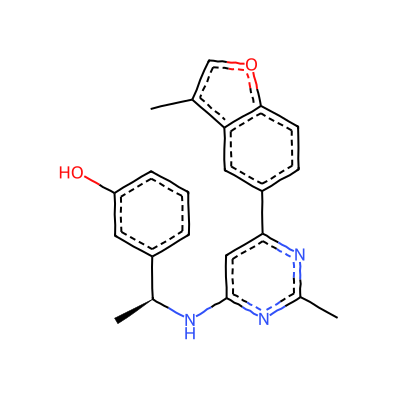 Cc1nc(N[C@@H](C)c2cccc(O)c2)cc(-c2ccc3occ(C)c3c2)n1